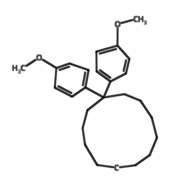 COc1ccc(C2(c3ccc(OC)cc3)CCCCCCCCCCC2)cc1